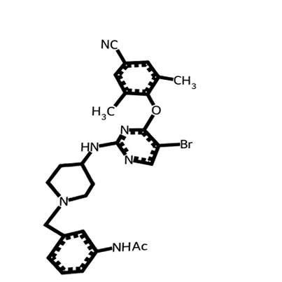 CC(=O)Nc1cccc(CN2CCC(Nc3ncc(Br)c(Oc4c(C)cc(C#N)cc4C)n3)CC2)c1